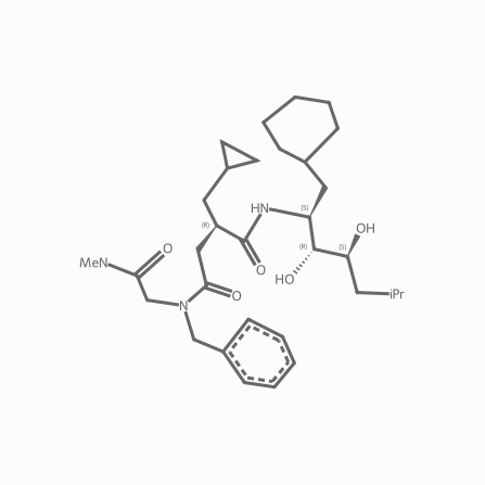 CNC(=O)CN(Cc1ccccc1)C(=O)C[C@@H](CC1CC1)C(=O)N[C@@H](CC1CCCCC1)[C@@H](O)[C@@H](O)CC(C)C